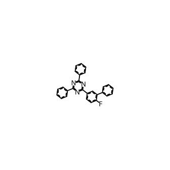 Fc1ccc(-c2nc(-c3ccccc3)nc(-c3ccccc3)n2)cc1-c1ccccc1